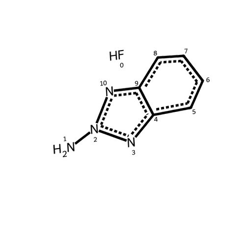 F.Nn1nc2ccccc2n1